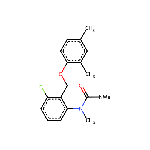 CNC(=O)N(C)c1cccc(F)c1COc1ccc(C)cc1C